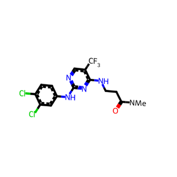 CNC(=O)CCNc1nc(Nc2ccc(Cl)c(Cl)c2)ncc1C(F)(F)F